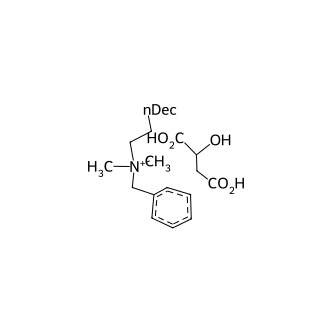 CCCCCCCCCCCC[N+](C)(C)Cc1ccccc1.O=C(O)CC(O)C(=O)O